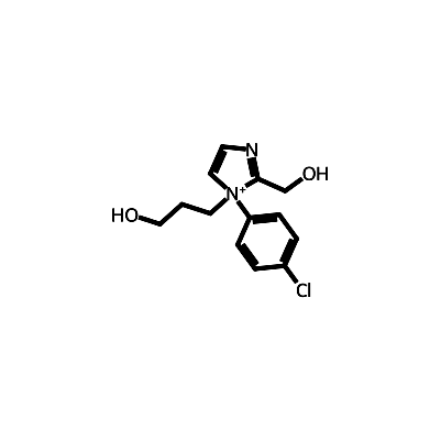 OCCC[N+]1(c2ccc(Cl)cc2)C=CN=C1CO